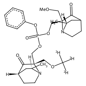 [2H]C([2H])([2H])OC[C@]1(COP(=O)(OC[C@@]2(COC)C(=O)C3CCN2[C@H](C)C3)Oc2ccccc2)C(=O)[C@H]2CCN1[C@H](C)C2